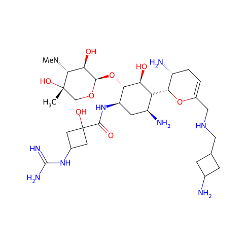 CN[C@@H]1[C@@H](O)[C@@H](O[C@H]2[C@H](NC(=O)C3(O)CC(NC(=N)N)C3)C[C@H](N)C([C@H]3OC(CNCC4CC(N)C4)=CC[C@H]3N)[C@@H]2O)OC[C@]1(C)O